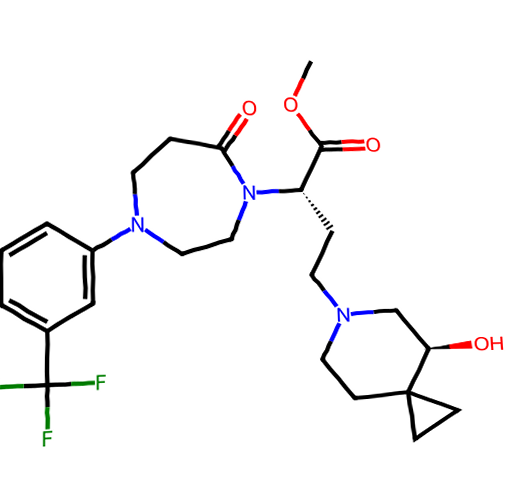 COC(=O)[C@H](CCN1CCC2(CC2)[C@H](O)C1)N1CCN(c2cccc(C(F)(F)F)c2)CCC1=O